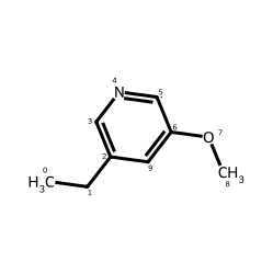 CCc1cn[c]c(OC)c1